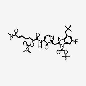 CN(C)C(=O)/C=C/CCC(OC(=O)N(C)C)C(=O)Nc1ccnn(Cc2nc3c(CC(C)(C)C)cc(F)cc3n2C(=O)OC(C)(C)C)c1=O